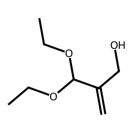 C=C(CO)C(OCC)OCC